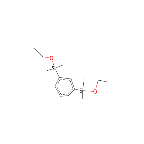 CCO[Si](C)(C)c1cccc([Si](C)(C)OCC)c1